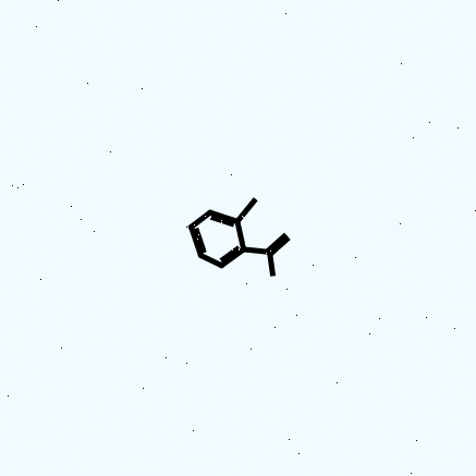 C=C(C)c1cc[c]cc1C